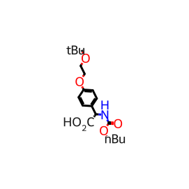 CCCCOC(=O)NC(C(=O)O)c1ccc(OCCOC(C)(C)C)cc1